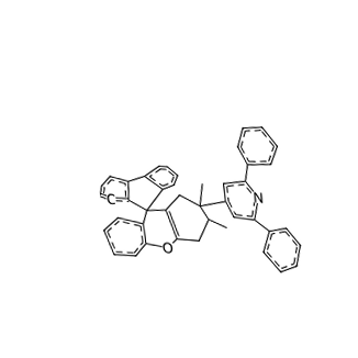 CC1CC2=C(CC1(C)c1cc(-c3ccccc3)nc(-c3ccccc3)c1)C1(c3ccccc3O2)c2ccccc2-c2ccccc21